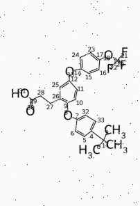 CC(C)(C)c1ccc(Oc2ccc(Oc3ccc(OC(F)(F)F)cc3)cc2CCC(=O)O)cc1